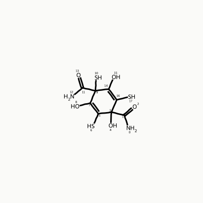 NC(=O)C1(O)C(S)=C(O)C(S)(C(N)=O)C(O)=C1S